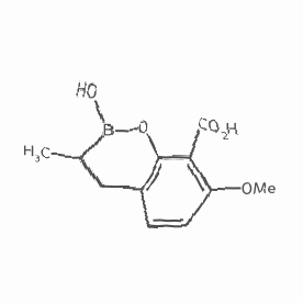 COc1ccc2c(c1C(=O)O)OB(O)C(C)C2